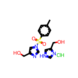 Cc1ccc(S(=O)(=O)n2cnc(CO)c2)cc1.Cl.OCc1c[nH]cn1